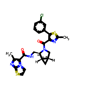 Cc1nc(C(=O)N2C[C@@H]3C[C@@H]3[C@H]2CNC(=O)c2c(C)nc3sccn23)c(-c2cccc(Cl)c2)s1